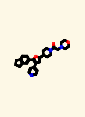 O=C(CN1CCOCC1)N1CCC(c2cc(-c3ccncc3)c(-c3ccc4c(c3)CCC4)o2)CC1